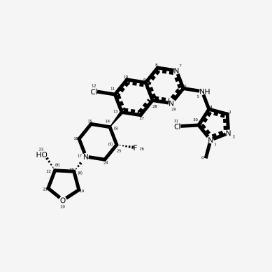 Cn1ncc(Nc2ncc3cc(Cl)c([C@@H]4CCN([C@@H]5COC[C@@H]5O)C[C@H]4F)cc3n2)c1Cl